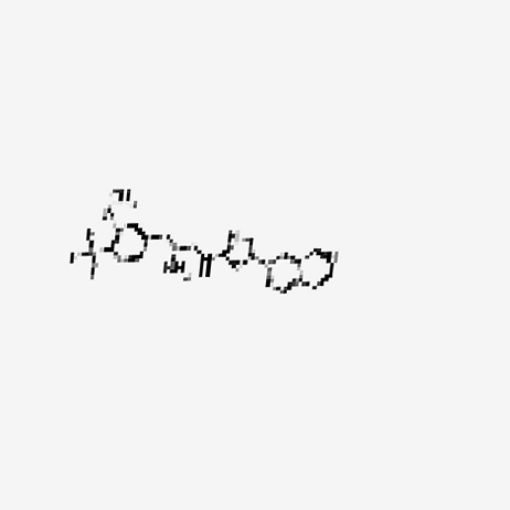 COc1cc(CC(N)CNc2ncc(-c3ccc4ccncc4c3)s2)ccc1C(F)(F)F